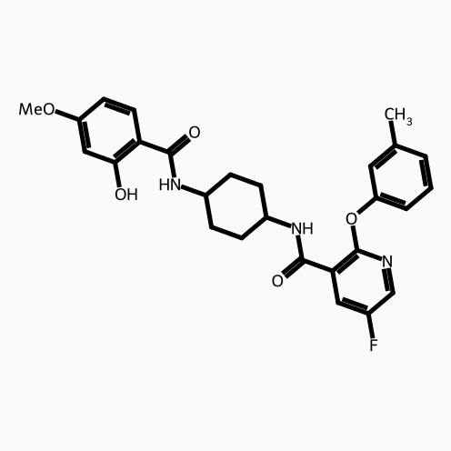 COc1ccc(C(=O)NC2CCC(NC(=O)c3cc(F)cnc3Oc3cccc(C)c3)CC2)c(O)c1